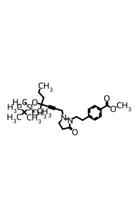 CCCC(C)(C#CCN1CCC(=O)N1CCc1ccc(C(=O)OC)cc1)O[Si](C)(C)C(C)(C)C